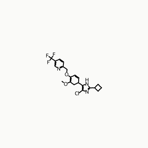 COC1=C(OCc2ccc(C(F)(F)F)cn2)C=CC(c2[nH]c(C3CCC3)nc2Cl)C1